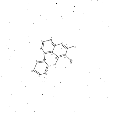 Cc1cc2nccc(-c3ccccc3)c2c(C)c1Br